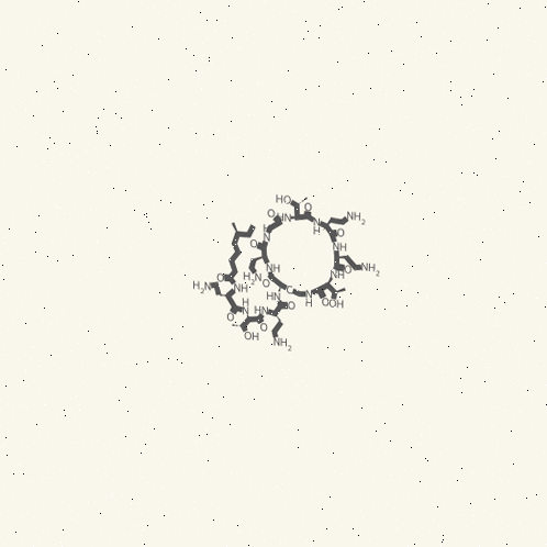 CC[C@H](C)CCCCC(=O)N[C@@H](CCN)C(=O)N[C@H](C(=O)N[C@@H](CCN)C(=O)N[C@H]1CCNC(=O)[C@H]([C@@H](C)O)NC(=O)[C@H](CCN)NC(=O)[C@H](CCN)NC(=O)[C@H]([C@@H](C)O)NC(=O)CNC(=O)[C@H](CCN)NC1=O)[C@@H](C)O